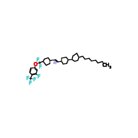 CCCCCCCCC1CCC(C2CCC(/C=C/C3CCC(C(F)(F)Oc4ccc(C(F)(F)F)c(F)c4)CC3)CC2)CC1